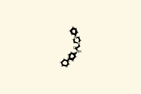 O=C(CN1CCN(c2ccccc2)CC1)Nc1ccc(C2CCCCC2)cc1